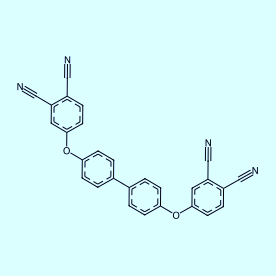 N#Cc1ccc(Oc2ccc(-c3ccc(Oc4ccc(C#N)c(C#N)c4)cc3)cc2)cc1C#N